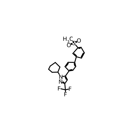 CS(=O)(=O)c1cccc(-c2ccc(-c3cc(C(F)(F)F)nn3C3CCCCC3)cc2)c1